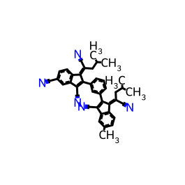 Cc1ccc2c(c1)C(C#N)=C(c1cccc(C3=C(C#N)c4cc(C#N)ccc4/C3=C(\C#N)CC(C)C)c1)/C2=C(/C#N)CC(C)C